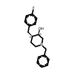 O[C@H]1CN(Cc2ccccc2)CC[C@H]1Cc1ccc(F)cc1